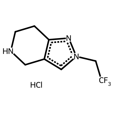 Cl.FC(F)(F)Cn1cc2c(n1)CCNC2